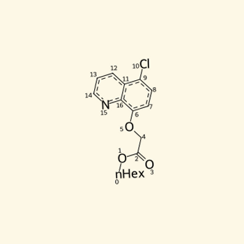 CCCCCCOC(=O)COc1ccc(Cl)c2cccnc12